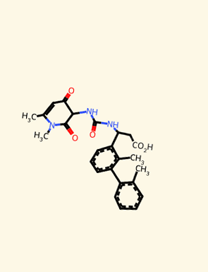 CC1=CC(=O)C(NC(=O)NC(CC(=O)O)c2cccc(-c3ccccc3C)c2C)C(=O)N1C